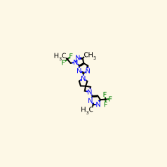 Cc1nc(N2CC3(CCN(c4ncc5c(C)nn(CC(C)(F)F)c5n4)C3)C2)cc(C(F)(F)F)n1